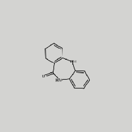 O=C1Nc2ccccc2NC2=C1CCC=C2